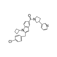 O=C(c1ccc2c(c1)cc(Cc1ccc(Cl)cc1)n2C1CCC1)N1CCC(c2cccnc2)C1